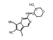 CC(C)(C)c1c(C#N)c(F)c2cnc(N[C@@H]3CCOC[C@H]3O)nn12